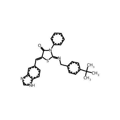 CC(C)(C)c1ccc(C/N=C2\S/C(=C\c3ccc4[nH]cnc4c3)C(=O)N2c2ccccc2)cc1